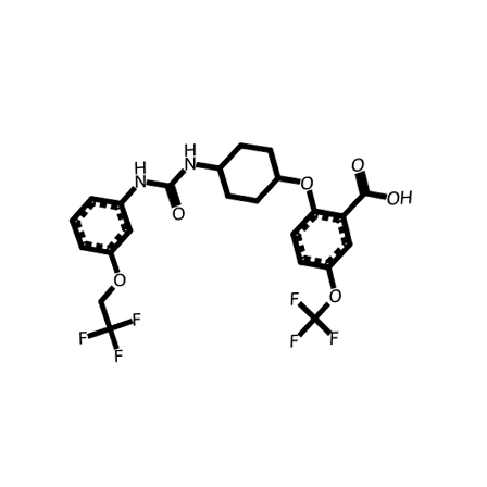 O=C(Nc1cccc(OCC(F)(F)F)c1)NC1CCC(Oc2ccc(OC(F)(F)F)cc2C(=O)O)CC1